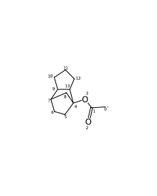 [CH2]C(=O)OC12CCC(C1)C1CCCC12